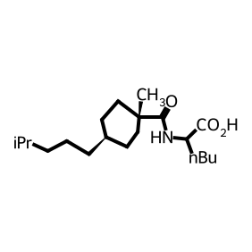 CCCCC(NC(=O)[C@]1(C)CC[C@@H](CCCC(C)C)CC1)C(=O)O